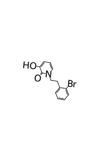 O=c1c(O)cccn1CCc1ccccc1Br